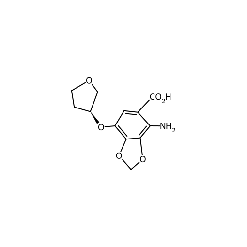 Nc1c(C(=O)O)cc(O[C@H]2CCOC2)c2c1OCO2